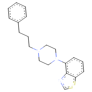 c1ccc(CCCN2CCN(c3cccc4scnc34)CC2)cc1